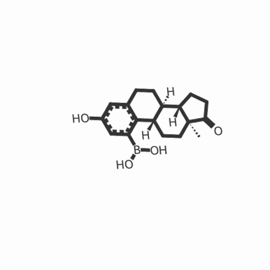 C[C@]12CC[C@@H]3c4c(cc(O)cc4B(O)O)CC[C@H]3[C@@H]1CCC2=O